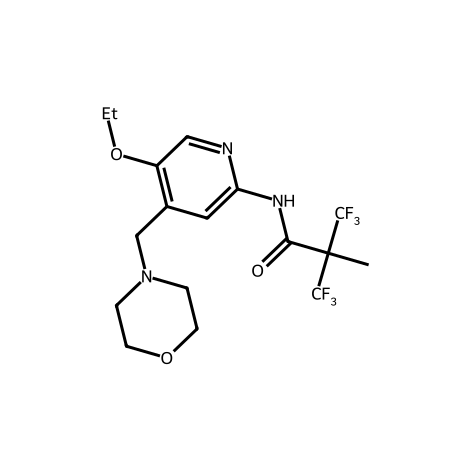 CCOc1cnc(NC(=O)C(C)(C(F)(F)F)C(F)(F)F)cc1CN1CCOCC1